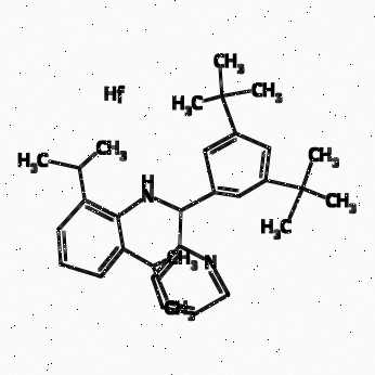 CC(C)c1cccc(C(C)C)c1NC(c1cc(C(C)(C)C)cc(C(C)(C)C)c1)c1ccccn1.[Hf]